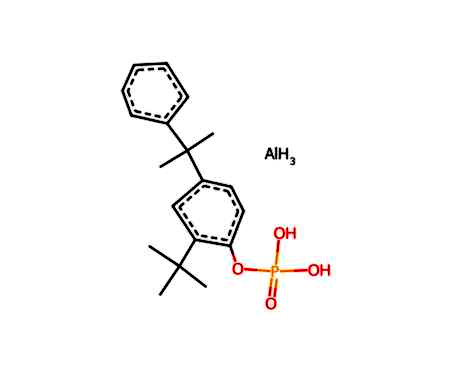 CC(C)(C)c1cc(C(C)(C)c2ccccc2)ccc1OP(=O)(O)O.[AlH3]